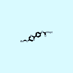 CCCCCCCC(=O)Oc1ccc(-c2ncc(OCC(C)CC)cn2)cc1